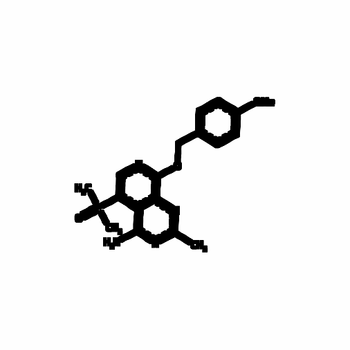 COc1ccc(COc2ncc(P(C)(C)=O)c3c(N)nc(C)nc23)cc1